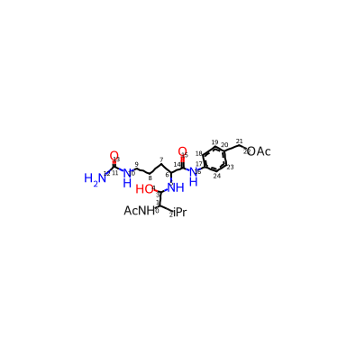 CC(=O)NC(C(C)C)C(O)NC(CCCNC(N)=O)C(=O)Nc1ccc(COC(C)=O)cc1